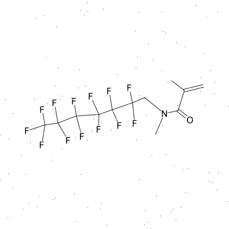 C=C(C)C(=O)N(C)CC(F)(F)C(F)(F)C(F)(F)C(F)(F)C(F)(F)C(F)(F)F